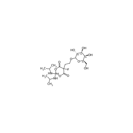 CC(C)N[PH]1(NC(C)C)OC(=O)C(F)(CCOC2O[C@H](CO)[C@H](O)[C@H](O)[C@H]2O)C(=O)O1